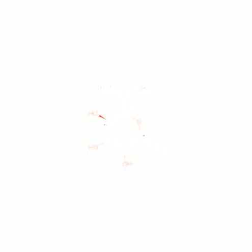 CC(C)[C@@H]1O[C@H](C)C(O)C(O)[C@H]1O